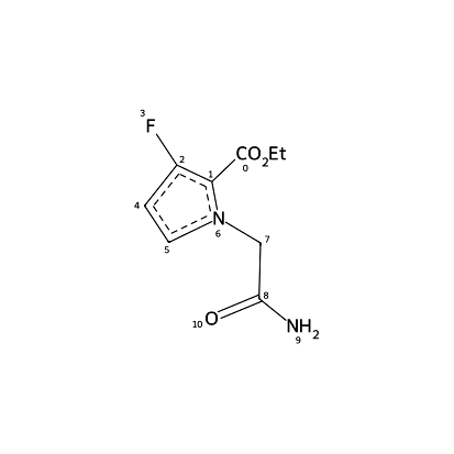 CCOC(=O)c1c(F)ccn1CC(N)=O